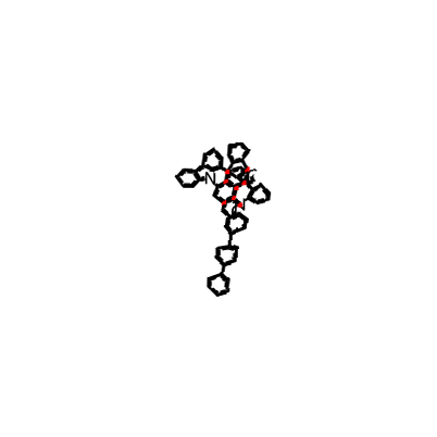 c1ccc(-c2ccc(-c3ccc(N(c4ccc5c(c4)C4(c6ccccc6-c6ccccc64)c4cccc6c7ccccc7n-5c46)c4ccccc4-c4ccccc4-c4ccccc4)cc3)cc2)cc1